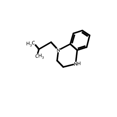 C[C](C)CN1CCNc2ccccc21